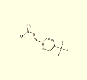 CN(C)/C=N/c1ccc(C(F)(F)F)cn1